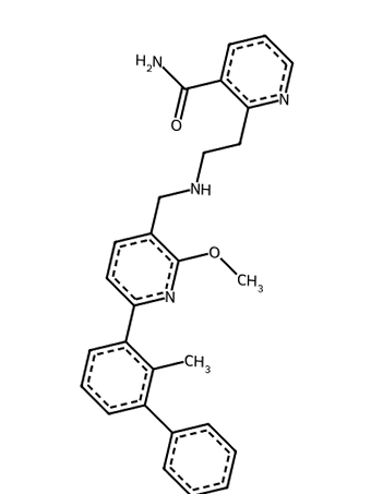 COc1nc(-c2cccc(-c3ccccc3)c2C)ccc1CNCCc1ncccc1C(N)=O